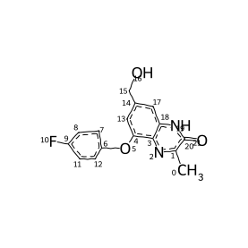 Cc1nc2c(Oc3ccc(F)cc3)cc(CO)cc2[nH]c1=O